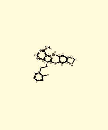 Cc1ccccc1CCn1c(Sc2cc3c(cc2Br)OCO3)nc2c(N)ncnc21